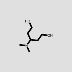 CN(C)C(CCO)CCO